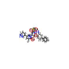 Cc1cc(-c2cccnc2)cn(C(CNS(C)(=O)=O)COC2CCC(c3ccccc3)CC2)c1=O